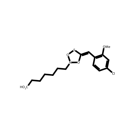 COc1cc(Cl)ccc1C=C1ON(CCCCCCC(=O)O)OS1